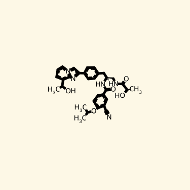 CC(C)Oc1ccc(C(=O)N[C@H](CNC(=O)[C@H](C)O)Cc2ccc(-c3cn4cccc(C(C)O)c4n3)cc2)cc1C#N